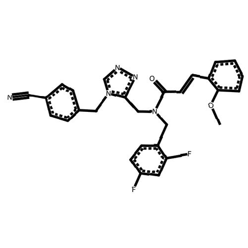 COc1ccccc1/C=C/C(=O)N(Cc1ccc(F)cc1F)Cc1nncn1Cc1ccc(C#N)cc1